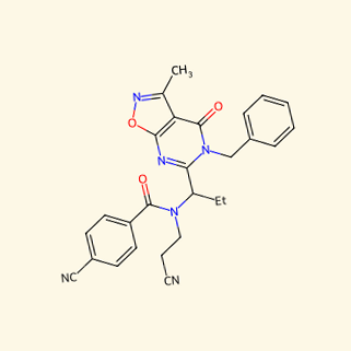 CCC(c1nc2onc(C)c2c(=O)n1Cc1ccccc1)N(CCC#N)C(=O)c1ccc(C#N)cc1